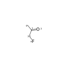 CC(=O)[C]F